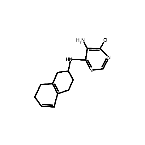 Nc1c(Cl)ncnc1NC1CCC2=C(CCC=C2)C1